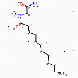 CCCCCCCCCCCC(=O)N(C)CC(N)=O